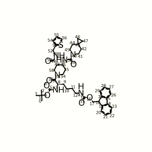 CC(C)(C)OC(=O)N[C@H](CCCCNC(=O)OCC1c2ccccc2-c2ccccc21)C(=O)N1CC[C@@H](NC(=O)N2CCC3(CC2)CC3)[C@@H](C(=O)NCc2cccs2)C1